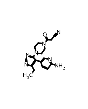 CCc1ncnc(N2CCN(C(=O)CC#N)CC2)c1-c1ccc(N)nc1